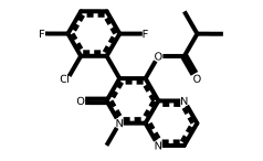 CC(C)C(=O)Oc1c(-c2c(F)ccc(F)c2Cl)c(=O)n(C)c2nccnc12